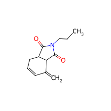 C=C1C=CCC2C(=O)N(CCC)C(=O)C12